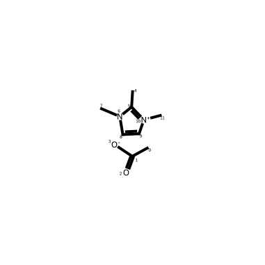 CC(=O)[O-].Cc1n(C)cc[n+]1C